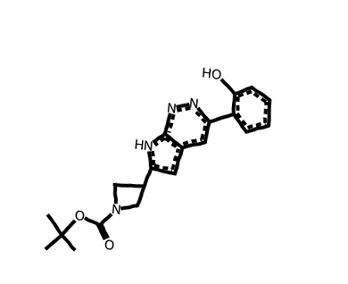 CC(C)(C)OC(=O)N1CC(c2cc3cc(-c4ccccc4O)nnc3[nH]2)C1